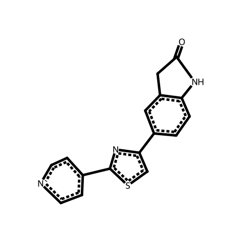 O=C1Cc2cc(-c3csc(-c4ccncc4)n3)ccc2N1